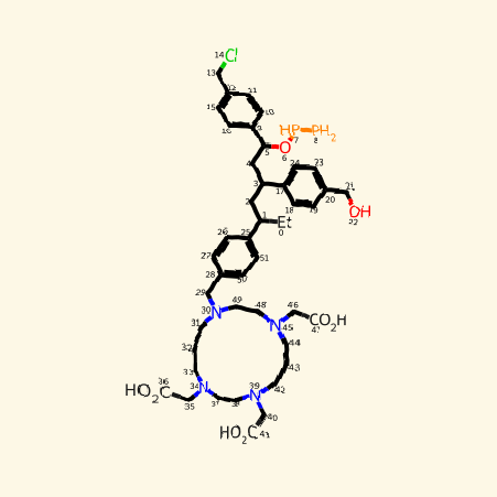 CCC(CC(CC(OPP)c1ccc(CCl)cc1)c1ccc(CO)cc1)c1ccc(CN2CCCN(CC(=O)O)CCN(CC(=O)O)CCCN(CC(=O)O)CC2)cc1